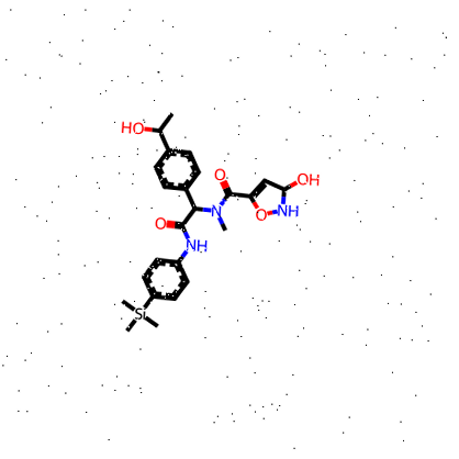 CC(O)c1ccc(C(C(=O)Nc2ccc([Si](C)(C)C)cc2)N(C)C(=O)C2=CC(O)NO2)cc1